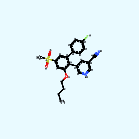 CCCCOc1cc(S(C)(=O)=O)cc(-c2ccc(F)cc2)c1-c1cncc(C#N)c1